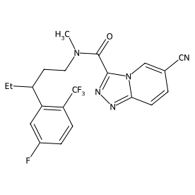 CCC(CCN(C)C(=O)c1nnc2ccc(C#N)cn12)c1cc(F)ccc1C(F)(F)F